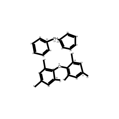 Cc1cc(C)c(Oc2c(C)cc(C)cc2C)c(C)c1.c1ccc(Pc2ccccc2)cc1